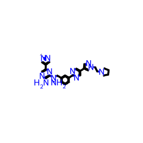 Cn1cc(-c2cnc(N)c(N(N)Cc3cccc(-c4ncc(-c5cnn(CCN6CCCC6)c5)cn4)c3)n2)cn1